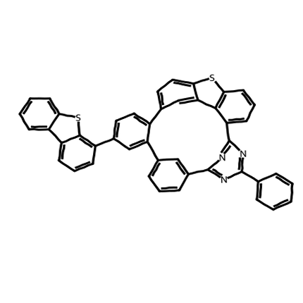 c1ccc(-c2nc3nc(n2)c2cccc4sc5ccc(cc5c42)c2ccc(-c4cccc5c4sc4ccccc45)cc2c2cccc3c2)cc1